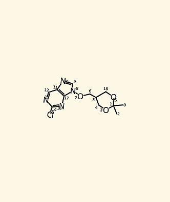 CC1(C)OCC(COn2cnc3cnc(Cl)nc32)CO1